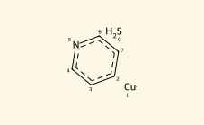 S.[Cu].c1ccncc1